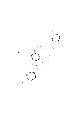 COc1ccc(C(C#N)(CCCCCC2CCc3cc4c(cc3N2)OCO4)Sc2ccc(C)cc2)cc1OC